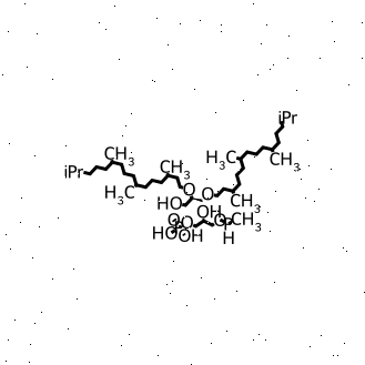 CC(C)CCCC(C)CCCC(C)CCCC(C)CCOC[C@@H](CO)OCCC(C)CCCC(C)CCCC(C)CCCC(C)C.CPOC[C@H](O)COP(=O)(O)O